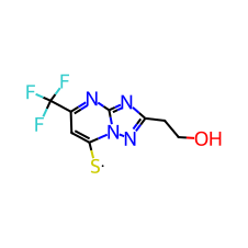 OCCc1nc2nc(C(F)(F)F)cc([S])n2n1